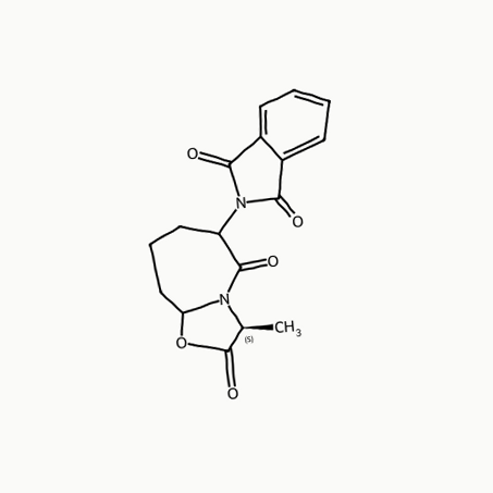 C[C@H]1C(=O)OC2CCCC(N3C(=O)c4ccccc4C3=O)C(=O)N21